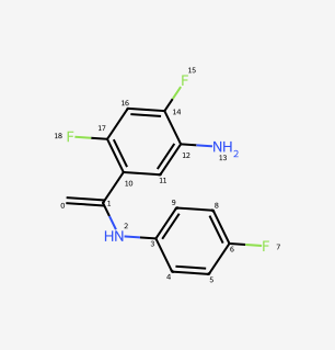 C=C(Nc1ccc(F)cc1)c1cc(N)c(F)cc1F